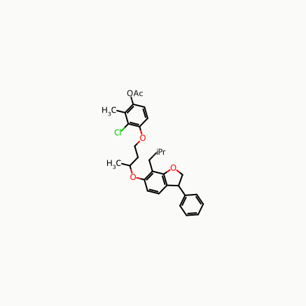 CC(=O)Oc1ccc(OCCC(C)Oc2ccc3c(c2CC(C)C)OCC3c2ccccc2)c(Cl)c1C